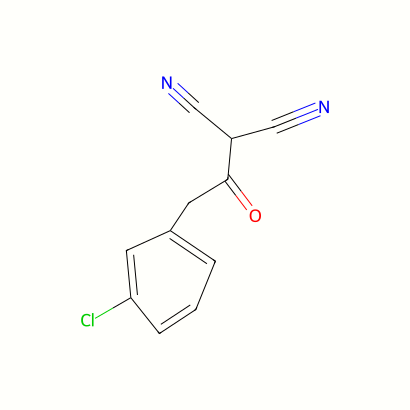 N#CC(C#N)C(=O)Cc1cccc(Cl)c1